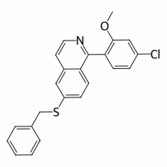 COc1cc(Cl)ccc1-c1nccc2cc(SCc3ccccc3)ccc12